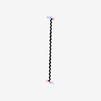 NC(=O)CCCCCCCC=CC=CC=CCCCCCCCCCCC=CC=CC=CCCCCCCCC(N)=O